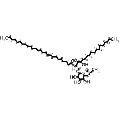 CCCCCCCCCCCCCCCCCCCCCCCCCC(=O)N[C@@H](CO[C@H]1OC(C[S+]([O-])CC)[C@H](O)[C@H](O)C1O)C(O)[C@H](O)CCCCCCCCCCCCCC